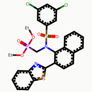 CCOP(=O)(CN(c1c(-c2nc3ccccc3s2)ccc2ccccc12)S(=O)(=O)c1cc(Cl)cc(Cl)c1)OCC